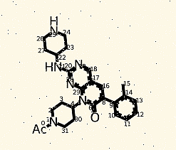 CC(=O)N1CCC(n2c(=O)c(-c3ccccc3C)cc3cnc(NC4CCNCC4)nc32)CC1